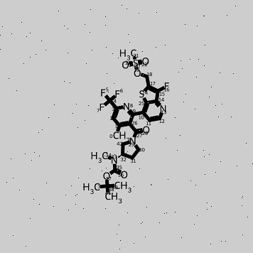 Cc1cc(C(F)(F)F)nc(-c2ccnc3c(F)c(COS(C)(=O)=O)sc23)c1C(=O)N1CC[C@H](N(C)C(=O)OC(C)(C)C)C1